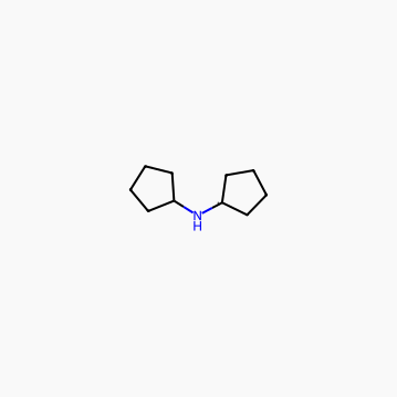 C1CC[C](NC2CCCC2)C1